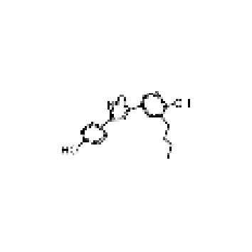 CCCCc1cc(-c2cc(-c3ccc(O)cc3)no2)ccc1O